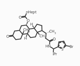 CCCCCCCC(=O)O[C@@H]1CC2CC(=O)CCC2(C)[C@H]2CCC3(C)C([C@H](C)CC(=O)NC(c4ccc(Br)s4)C(C)C)CC[C@H]3C12